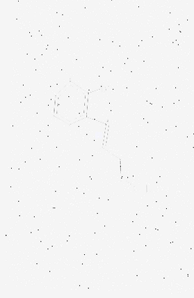 O=[C]OC/C=C/c1ccccc1Br